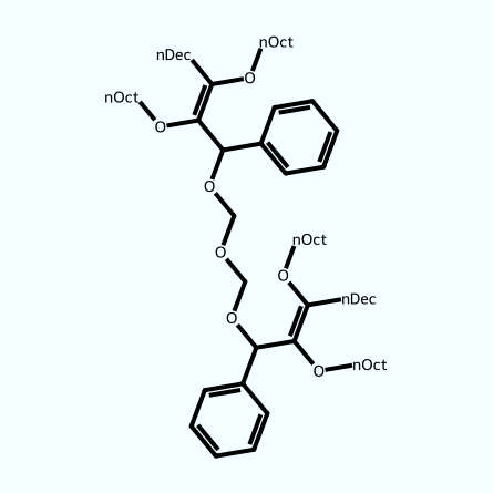 CCCCCCCCCCC(OCCCCCCCC)=C(OCCCCCCCC)C(OCOCOC(C(OCCCCCCCC)=C(CCCCCCCCCC)OCCCCCCCC)c1ccccc1)c1ccccc1